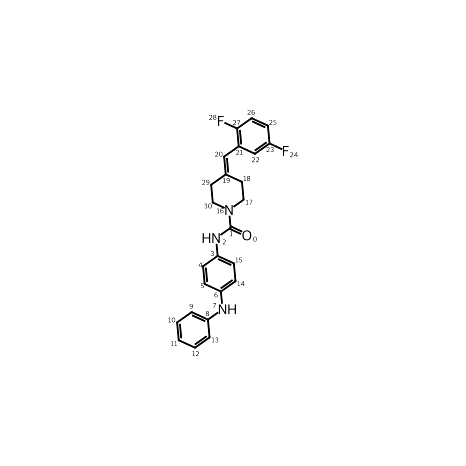 O=C(Nc1ccc(Nc2ccccc2)cc1)N1CCC(=Cc2cc(F)ccc2F)CC1